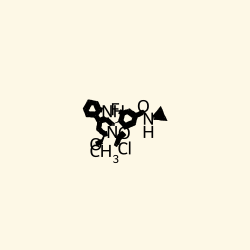 COC[C@H]1Cc2c([nH]c3ccccc23)[C@H](C2C=CC(C(=O)NC3CC3)=CC2F)N1C(=O)CCl